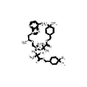 C[C@H](Cn1cnc2c(N)ccnc21)OCP(=O)(NC(C)(C)C(=O)OCC1CCC(C)(C)CC1)NC(C)(C)C(=O)OCC1CCC(C)(C)CC1